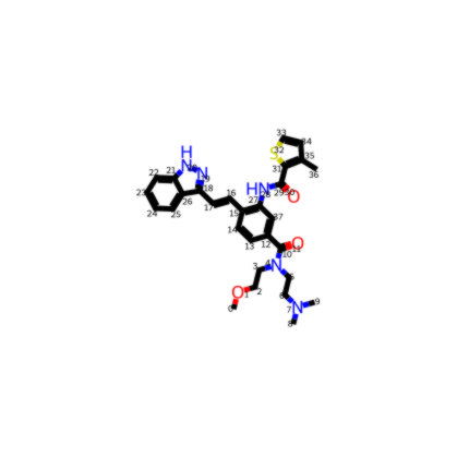 COCCN(CCN(C)C)C(=O)c1ccc(C=Cc2n[nH]c3ccccc23)c(NC(=O)c2sccc2C)c1